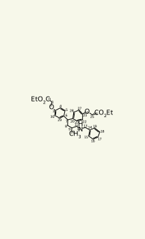 CCOC(=O)COc1ccc(C(CC(C)CNCc2ccccc2)c2ccc(OCC(=O)OCC)cc2)cc1